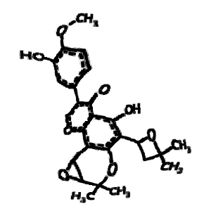 COc1ccc(-c2coc3c4c(c(C5CC(C)(C)O5)c(O)c3c2=O)OC(C)(C)C2OC42)cc1O